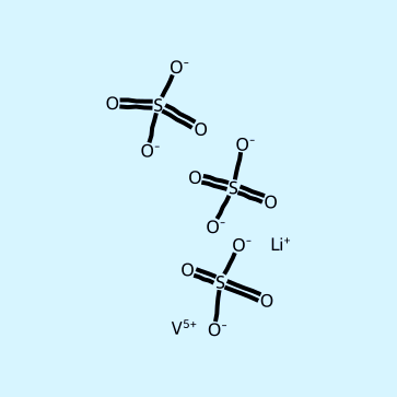 O=S(=O)([O-])[O-].O=S(=O)([O-])[O-].O=S(=O)([O-])[O-].[Li+].[V+5]